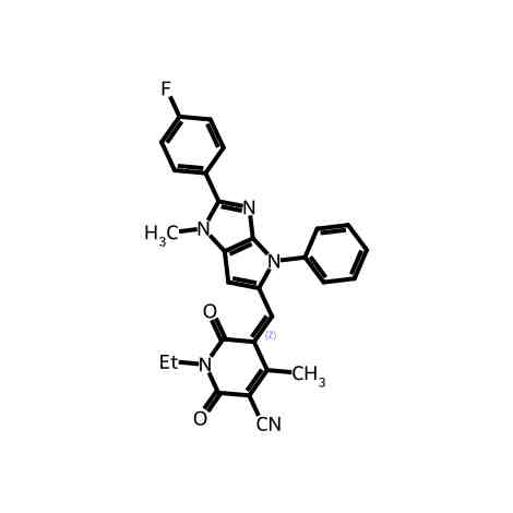 CCN1C(=O)C(C#N)=C(C)/C(=C/c2cc3c(nc(-c4ccc(F)cc4)n3C)n2-c2ccccc2)C1=O